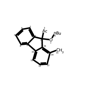 CCCCOC1(C(C)=O)c2ccccc2-c2cccc(C)c21